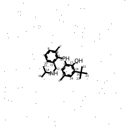 Cc1cc(Pc2c(C)cccc2CNC(C)C)c(O)c(C(C)(C)C)c1